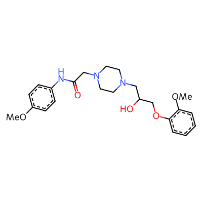 COc1ccc(NC(=O)CN2CCN(CC(O)COc3ccccc3OC)CC2)cc1